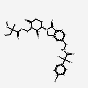 CCC(C)(NC)C(=O)OCN1C(=O)CCC(N2Cc3cc(CNC(=O)C(F)(F)c4ccc(F)cc4)ccc3C2=O)C1=O